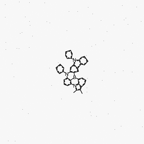 Cc1c(C)n2c3c(cccc13)B1c3cc4c5ccccc5n(-c5ccccc5)c4cc3N(c3ccccc3)c3cccc-2c31